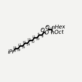 CCCCCCCCC(CCCCCC)C(=O)OC(=O)CCCCCCCCCCCCC(C)C